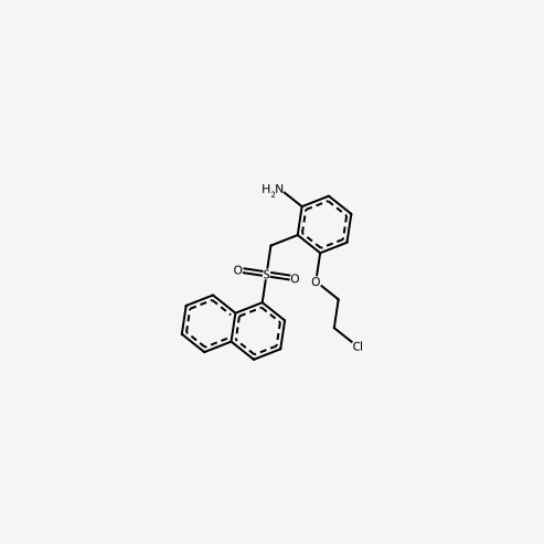 Nc1cccc(OCCCl)c1CS(=O)(=O)c1cccc2ccccc12